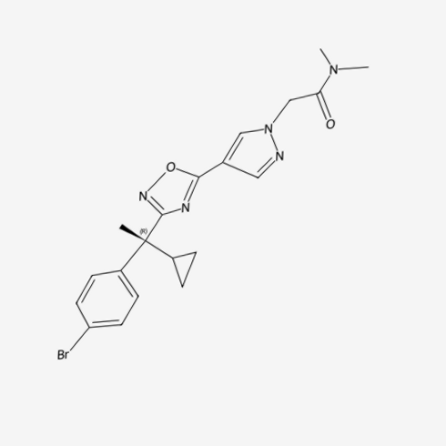 CN(C)C(=O)Cn1cc(-c2nc([C@@](C)(c3ccc(Br)cc3)C3CC3)no2)cn1